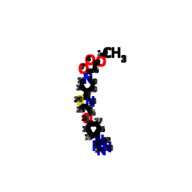 CCOC(=O)CC(=O)N1CCC(c2nc(COc3ccc(-n4cnnn4)cc3)cs2)CC1